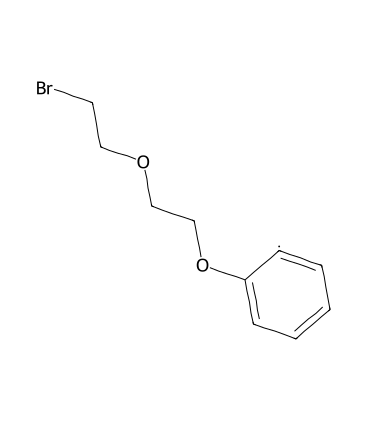 BrCCOCCOc1[c]cccc1